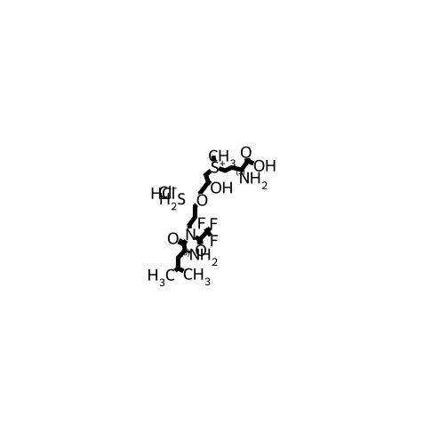 CC(C)C[C@H](N)C(=O)N(CCCOCC(O)C[S+](C)CC[C@H](N)C(=O)O)C(=O)C(F)(F)F.Cl.S.[Cl-]